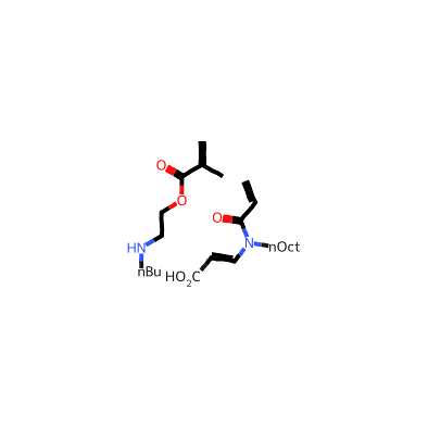 C=C(C)C(=O)OCCNCCCC.C=CC(=O)N(C=CC(=O)O)CCCCCCCC